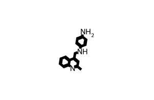 Cc1cc(CNc2ccc(N)cc2)c2ccccc2n1